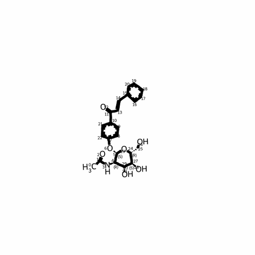 CC(=O)N[C@H]1[C@H](Oc2ccc(C(=O)C=Cc3ccccc3)cc2)O[C@H](CO)[C@@H](O)[C@@H]1O